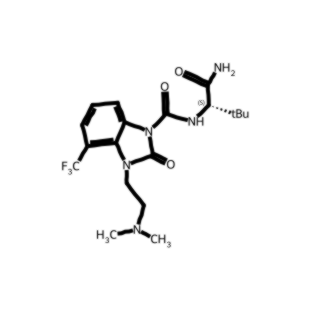 CN(C)CCn1c(=O)n(C(=O)N[C@H](C(N)=O)C(C)(C)C)c2cccc(C(F)(F)F)c21